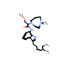 CCC(C)/C=C(/F)CCc1c[nH]c2c(NC(=O)C(COC)N3CCCN(C)CC3)cccc12